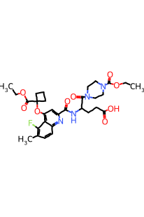 CCOC(=O)N1CCN(C(=O)C(CCC(=O)O)NC(=O)c2cc(OC3(C(=O)OCC)CCC3)c3c(F)c(C)ccc3n2)CC1